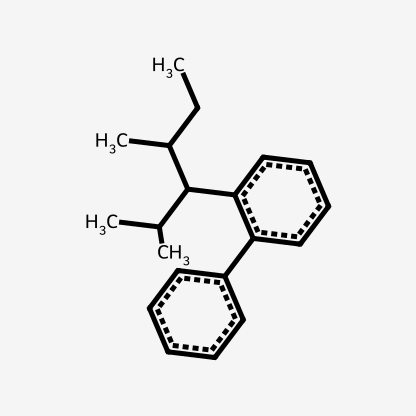 CCC(C)C(c1ccccc1-c1ccccc1)C(C)C